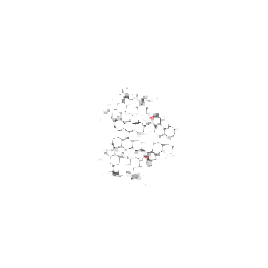 CC(C)(C)c1cc(N(c2cc([Si](C)(C)C)cc([Si](C)(C)C)c2)c2c3ccccc3c(-c3c4ccccc4c(N(c4cc(C(C)(C)C)cc(C(C)(C)C)c4)c4cc([Si](C)(C)C)cc([Si](C)(C)C)c4)c4cc(-c5cccc6c5ccc5ccccc56)ccc34)c3ccc(-c4cccc5c4ccc4ccccc45)cc23)cc(C(C)(C)C)c1